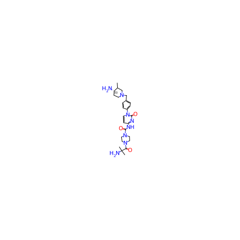 CC1CN(Cc2ccc(-n3ccc(NC(=O)N4CCN(C(=O)C(C)(C)N)CC4)nc3=O)cc2)CC[C@@H]1N